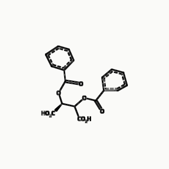 O=C(OC(C(=O)O)[C@H](OC(=O)c1ccccc1)C(=O)O)c1ccccc1